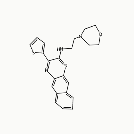 c1csc(-c2nc3cc4ccccc4cc3nc2NCCN2CCOCC2)c1